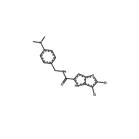 CN(C)c1ccc(CNC(=O)c2cc3sc(Cl)c(Cl)c3[nH]2)cc1